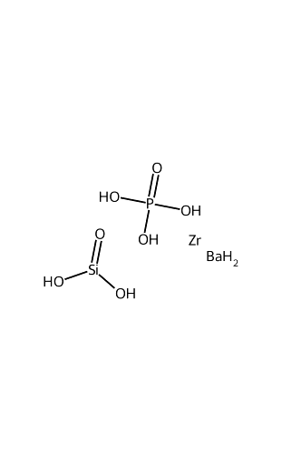 O=P(O)(O)O.O=[Si](O)O.[BaH2].[Zr]